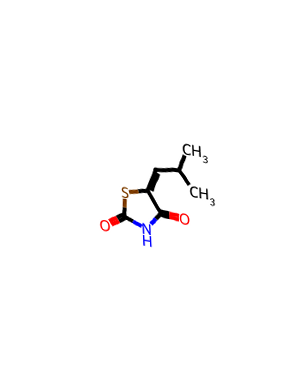 CC(C)/C=C1/SC(=O)NC1=O